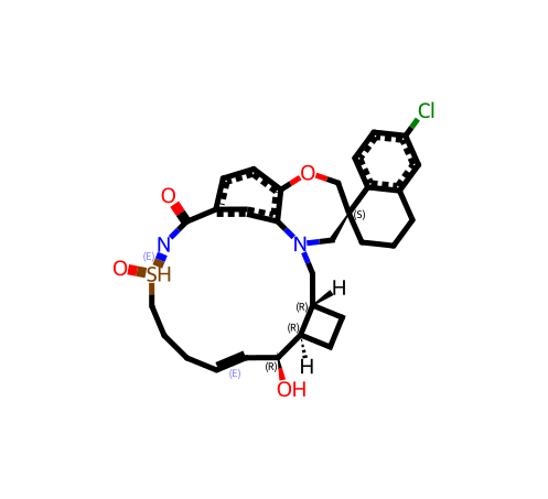 O=C1/N=[SH](=O)\CCC/C=C/[C@H](O)[C@@H]2CC[C@H]2CN2C[C@@]3(CCCc4cc(Cl)ccc43)COc3ccc1cc32